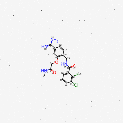 CNC(=O)COc1cc(C(=N)N)ccc1CNC(=O)c1cccc(Cl)c1F